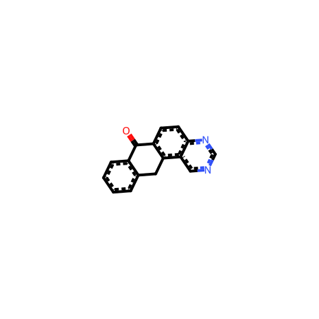 O=C1c2ccccc2Cc2c1ccc1ncncc21